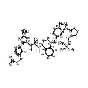 CC(C)[Si](OC[C@@H]1CCCN1c1nnc2ccc(O[C@@H]3CC[C@H](NC(=O)Nc4cc(C(C)(C)C)nn4-c4cnn(CCN(C)C)c4)c4ccccc43)cn12)(C(C)C)C(C)C